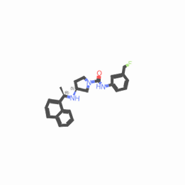 C[C@@H](N[C@H]1CCN(C(=O)Nc2cccc(CF)c2)C1)c1cccc2ccccc12